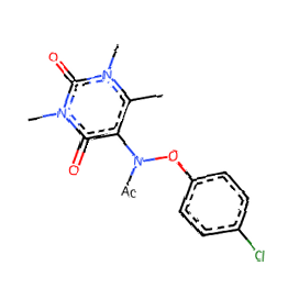 CC(=O)N(Oc1ccc(Cl)cc1)c1c(C)n(C)c(=O)n(C)c1=O